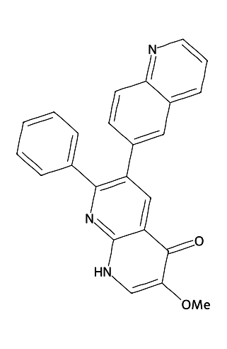 COc1c[nH]c2nc(-c3ccccc3)c(-c3ccc4ncccc4c3)cc2c1=O